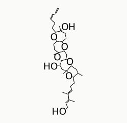 C=C/C=C\CCC1OC2CCC3(C)OC4C(O)CC5(C)OC(CC/C=C(C)/C(C)=C/CO)C(C)CC5OC4CC3OC2CCC1(C)O